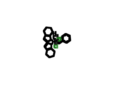 [CH3][Hf]([Cl])([Cl])(=[CH]c1ccccc1)([CH]1C=CC2=C1CCCC2)[CH]1C=CC2=C1CCCC2